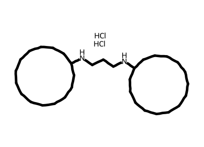 C1CCCCCCCC(NCCCNC2CCCCCCCCCCCCCC2)CCCCCC1.Cl.Cl